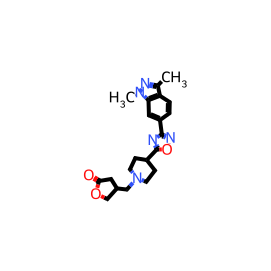 Cc1nn(C)c2cc(-c3noc(C4CCN(CC5COC(=O)C5)CC4)n3)ccc12